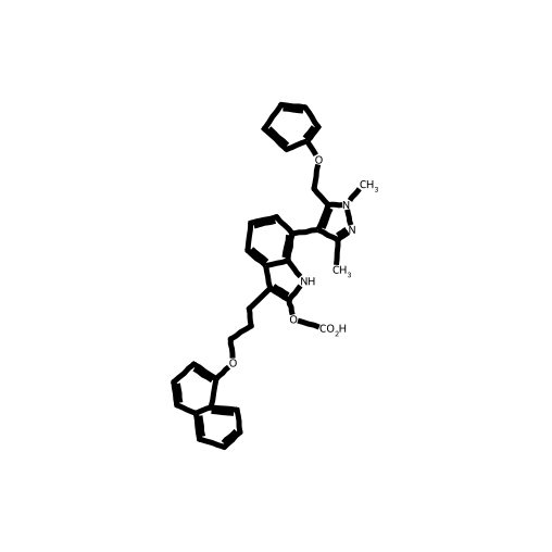 Cc1nn(C)c(COc2ccccc2)c1-c1cccc2c(CCCOc3cccc4ccccc34)c(OC(=O)O)[nH]c12